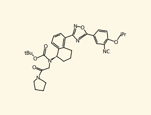 [C-]#[N+]c1cc(-c2nc(-c3cccc4c3CCC[C@H]4N(CC(=O)N3CCCC3)C(=O)OC(C)(C)C)no2)ccc1OC(C)C